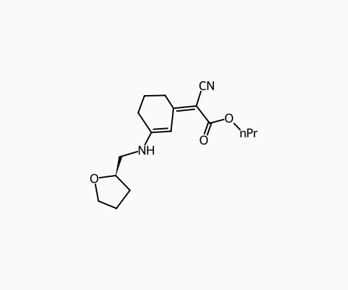 CCCOC(=O)/C(C#N)=C1\C=C(NC[C@H]2CCCO2)CCC1